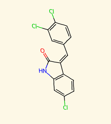 O=C1Nc2cc(Cl)ccc2C1=Cc1ccc(Cl)c(Cl)c1